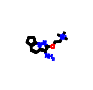 C[N+](C)(C)CCOc1nn2c3c(ccc2c1N)CCC3